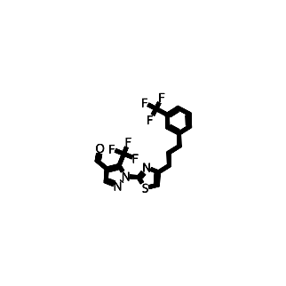 O=Cc1cnn(-c2nc(CCCc3cccc(C(F)(F)F)c3)cs2)c1C(F)(F)F